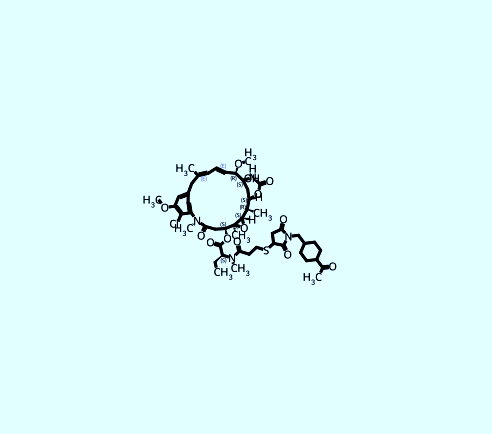 CC[C@@H](C(=O)O[C@H]1CC(=O)N(C)c2cc(cc(OC)c2Cl)C/C(C)=C/C=C/[C@@H](OC)[C@@]2(O)C[C@H](OC(=O)N2)[C@@H](C)[C@@H]2O[C@@]12C)N(C)C(=O)CCSC1CC(=O)N(CC2CCC(C(C)=O)CC2)C1=O